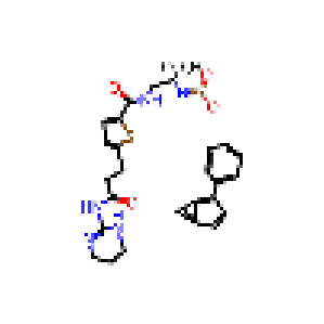 O=C(CCc1ccc(C(=O)NC[C@H](N=S(=O)=O)C(=O)O)s1)NC1=NCCCN1.c1ccc(-c2ccc3cc2-3)cc1